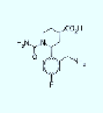 NCc1cc(F)ccc1C1CC(C(=O)O)CCN1C(N)=O